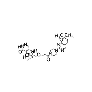 CC(COCCC(=O)N1CCN(c2ncc3c(n2)OC(C)(C)C=C3)CC1)Nc1cn[nH]c(=O)c1C(F)(F)F